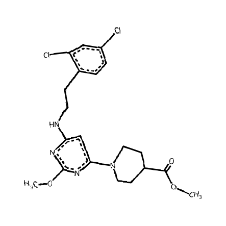 COC(=O)C1CCN(c2cc(NCCc3ccc(Cl)cc3Cl)nc(OC)n2)CC1